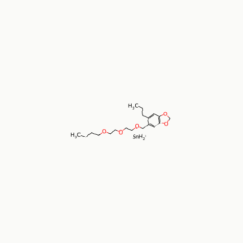 CCCCOCCOCCOCc1cc2c(cc1CCC)OCO2.[SnH2]